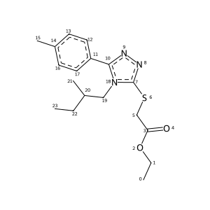 CCOC(=O)CSc1nnc(-c2ccc(C)cc2)n1CC(C)CC